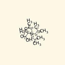 C=C(C(=O)O)[Si](CC(C)C)(CC(C)C)CC(C)C